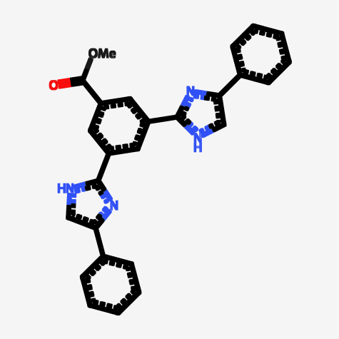 COC(=O)c1cc(-c2nc(-c3ccccc3)c[nH]2)cc(-c2nc(-c3ccccc3)c[nH]2)c1